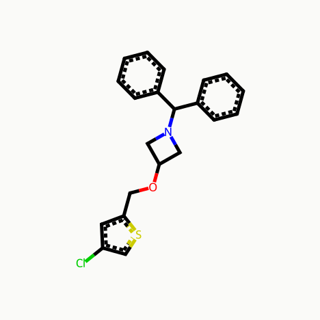 Clc1csc(COC2CN(C(c3ccccc3)c3ccccc3)C2)c1